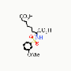 COc1cccc(S(=O)(=O)N[C@@H](CCCCCC(=O)O)C(=O)O)c1